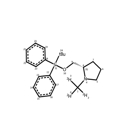 [2H]C([2H])([2H])N1CCC[C@H]1CO[Si](c1ccccc1)(c1ccccc1)C(C)(C)C